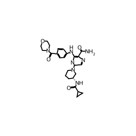 NC(=O)c1ncc(N2CCC[C@@H](NC(=O)C3CC3)C2)nc1Nc1ccc(C(=O)N2CCOCC2)cc1